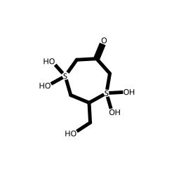 O=C1CS(O)(O)CC(CO)S(O)(O)C1